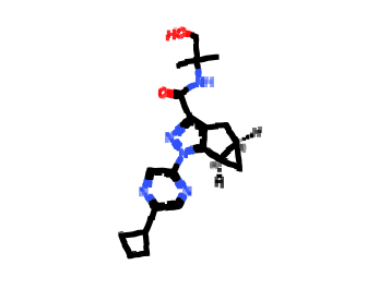 CC(C)(CO)NC(=O)c1nn(-c2cnc(C3CCC3)cn2)c2c1C[C@H]1C[C@@H]21